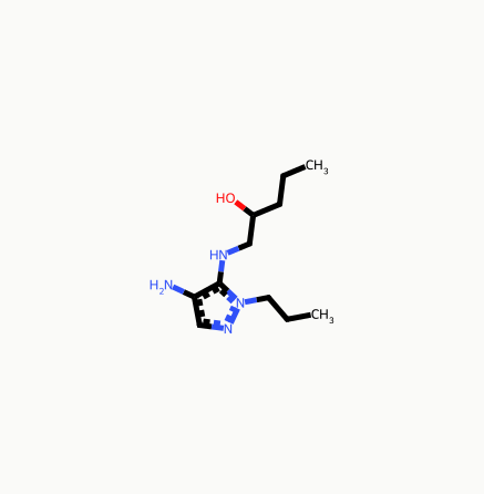 CCCC(O)CNc1c(N)cnn1CCC